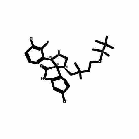 CC(C)(CCO[Si](C)(C)C(C)(C)C)C[C@@H]1CN[C@H](c2cccc(Cl)c2F)[C@]12C(=O)Nc1cc(Cl)ccc12